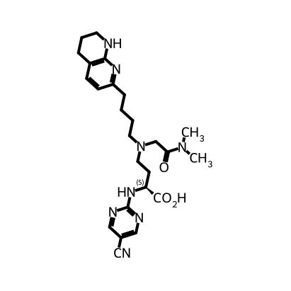 CN(C)C(=O)CN(CCCCc1ccc2c(n1)NCCC2)CC[C@H](Nc1ncc(C#N)cn1)C(=O)O